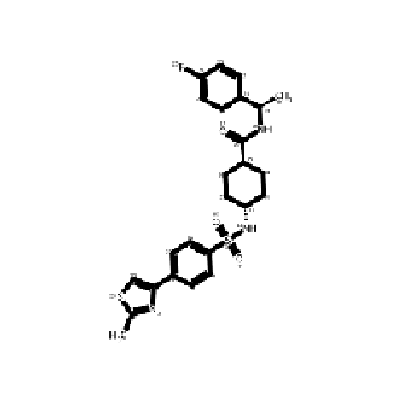 Cc1nc(-c2ccc(S(=O)(=O)N[C@H]3CC[C@H](C(=O)N[C@H](C)C4C=CC(F)=CC4)CC3)cc2)cs1